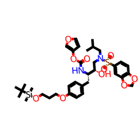 CC(C)CN(C[C@H](O)[C@H](Cc1ccc(OCCCO[Si](C)(C)C(C)(C)C)cc1)NC(=O)Oc1ccoc1)S(=O)(=O)c1ccc2c(c1)OCO2